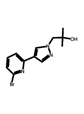 CC(C)(O)Cn1cc(-c2cccc(Br)n2)cn1